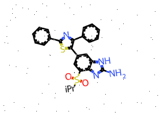 CC(C)S(=O)(=O)c1cc(-c2sc(-c3ccccc3)nc2-c2ccccc2)cc2[nH]c(N)nc12